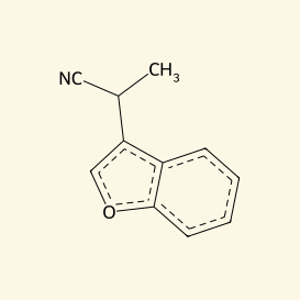 CC(C#N)c1coc2ccccc12